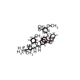 COc1cc(OC)nc(Sc2ccccc2C(=O)N2C3CCC2CC(Cc2cccc(NC(=O)Nc4cc(C(C)(C)C)nn4-c4ccc(C)cc4)c2)C3)n1